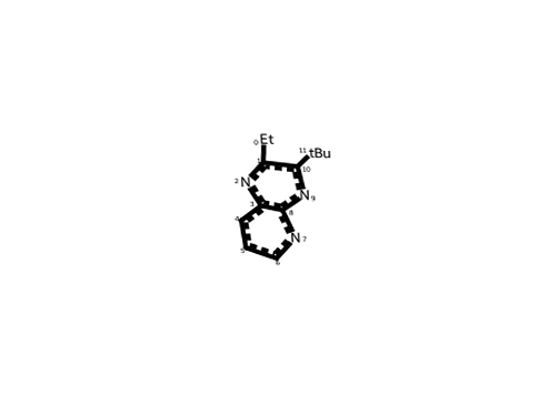 CCc1nc2cccnc2nc1C(C)(C)C